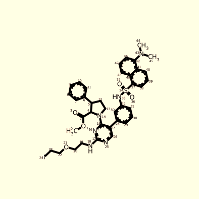 COC(=O)C1C(c2ccccc2)CCN1c1nc(NCCOCCI)ncc1-c1cccc(NS(=O)(=O)c2cccc3c(N(C)C)cccc23)c1